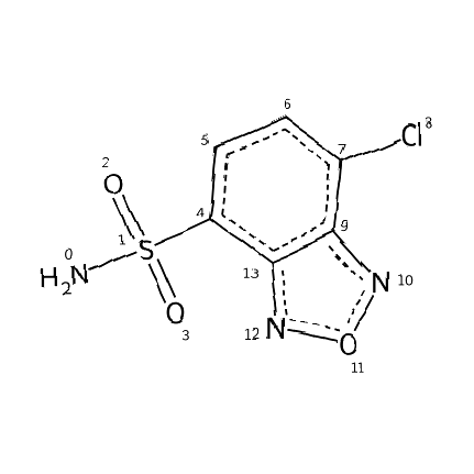 NS(=O)(=O)c1ccc(Cl)c2nonc12